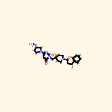 C[C@H](CC(=O)N1CCC(O)(Cn2cnc(N3CC[C@H](N)C3)cc2=O)CC1)c1ccccc1